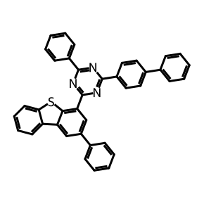 c1ccc(-c2ccc(-c3nc(-c4ccccc4)nc(-c4cc(-c5ccccc5)cc5c4sc4ccccc45)n3)cc2)cc1